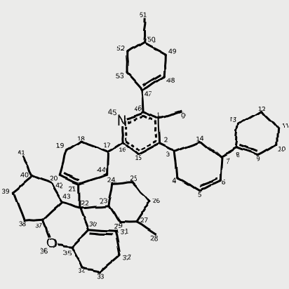 Cc1c(C2CC=CC(C3=CCCCC3)C2)cc(C2CCC=C(C3(C4CCCC(C)C4)C4=CCCCC4OC4CCC(C)CC43)C2)nc1C1=CCC(C)CC1